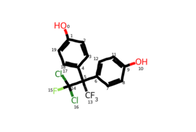 Oc1ccc(C(c2ccc(O)cc2)(C(F)(F)F)C(F)(Cl)Cl)cc1